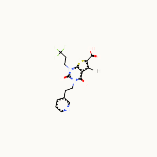 Cc1c(C(=O)O)sc2c1c(=O)n(CCc1cccnc1)c(=O)n2CCC(F)(F)F